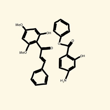 COc1cc(O)c(C(=O)C=Cc2ccccc2)c(OC)c1.Nc1ccc(C(=O)Oc2ccccc2)c(O)c1